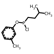 Cc1cccc(OP(Cl)CCC(C)C)c1